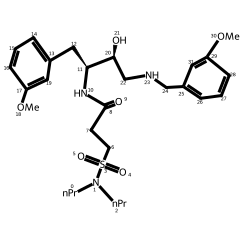 CCCN(CCC)S(=O)(=O)CCC(=O)N[C@@H](Cc1cccc(OC)c1)[C@@H](O)CNCc1cccc(OC)c1